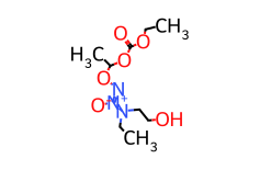 CCOC(=O)OC(C)O/N=[N+](\[O-])N(CC)CCO